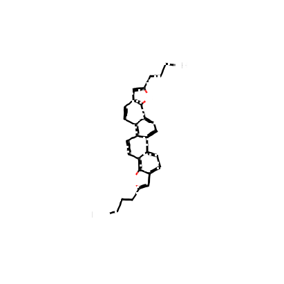 CCCCc1cc2ccc3c4ccc5c(ccc6cc(CCCC)oc65)c4ccc3c2o1